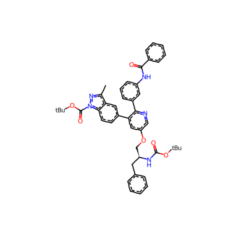 Cc1nn(C(=O)OC(C)(C)C)c2ccc(-c3cc(OC[C@H](Cc4ccccc4)NC(=O)OC(C)(C)C)cnc3-c3cccc(NC(=O)c4ccccc4)c3)cc12